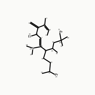 C=C(/C(C)=C\C)C(/C=C(/C(CCC(C)C(C)C)C(C)CC(C)(C)C(C)C)N(C)C)CC